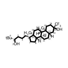 CC(C)(C)[C@@H](O)CCC[C@@H]1CC[C@H]2[C@@H]3CC[C@H]4C[C@](O)(C(F)(F)F)CC[C@]4(C)[C@H]3CC[C@]12C